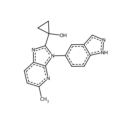 Cc1ccc2nc(C3(O)CC3)n(-c3ccc4[nH]ncc4c3)c2n1